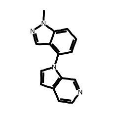 Cn1ncc2c(-n3ccc4ccncc43)cccc21